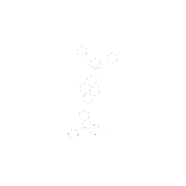 N#Cc1ccc2c(c1)c1cc(-c3cc4ccc5cc(-c6nc(-c7ccccc7)cc(-c7ccccc7)n6)cc6ccc(c3)c4c56)ccc1n2-c1ccccc1